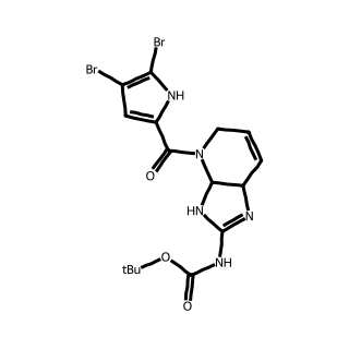 CC(C)(C)OC(=O)NC1=NC2C=CCN(C(=O)c3cc(Br)c(Br)[nH]3)C2N1